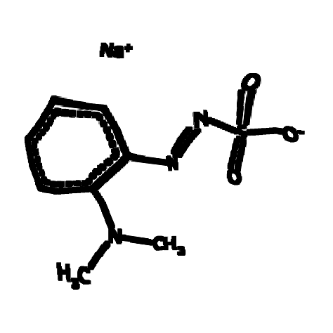 CN(C)c1ccccc1N=NS(=O)(=O)[O-].[Na+]